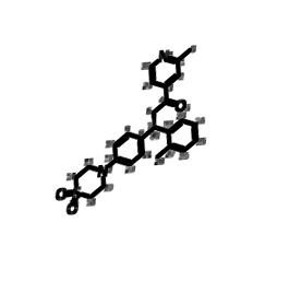 Cc1cc(C(=O)C[C@H](c2ccc(N3CCS(=O)(=O)CC3)cc2)c2ccccc2C)ccn1